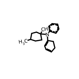 CC1CCC(C)(N(C2=CC=CCC2)c2ccccc2)CC1